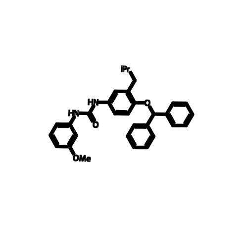 COc1cccc(NC(=O)Nc2ccc(OC(c3ccccc3)c3ccccc3)c(CC(C)C)c2)c1